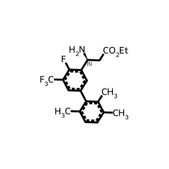 CCOC(=O)C[C@H](N)c1cc(-c2c(C)ccc(C)c2C)cc(C(F)(F)F)c1F